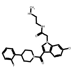 CNCCNC(=O)Cn1cc(C(=O)N2CCC(c3ccccc3F)CC2)c2ccc(Cl)cc21